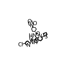 O=C(Nc1ccc(Cl)cn1)c1oc2ccc(-c3cccs3)nc2c1NC(=O)[C@H]1CC[C@H](N2CCOCC2=O)CC1